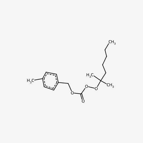 CCCCCC(C)(C)OOC(=O)OCc1ccc(C)cc1